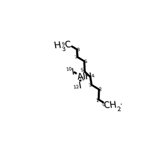 [CH2]CCCCCCCCC.[I][AlH][I]